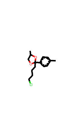 Cc1ccc(C2(CCCCCl)OCC(C)O2)cc1